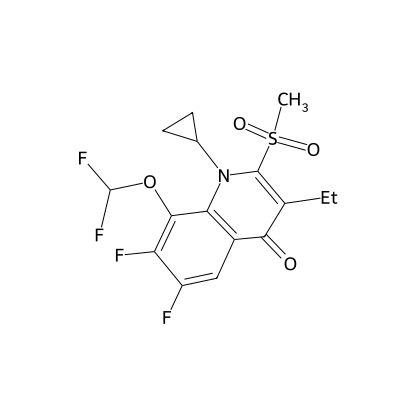 CCc1c(S(C)(=O)=O)n(C2CC2)c2c(OC(F)F)c(F)c(F)cc2c1=O